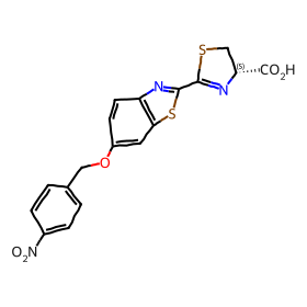 O=C(O)[C@H]1CSC(c2nc3ccc(OCc4ccc([N+](=O)[O-])cc4)cc3s2)=N1